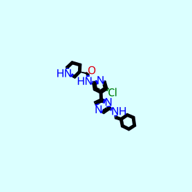 O=C(Nc1cc(-c2cncc(NCC3CCCCC3)n2)c(Cl)cn1)[C@@H]1CCCNC1